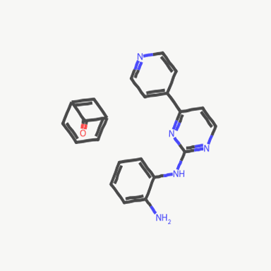 Nc1ccccc1Nc1nccc(-c2ccncc2)n1.O=C1c2cccc1c2